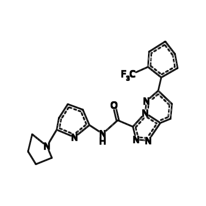 O=C(Nc1cccc(N2CCCC2)n1)c1nnc2ccc(-c3ccccc3C(F)(F)F)nn12